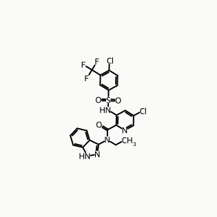 CCN(C(=O)c1ncc(Cl)cc1NS(=O)(=O)c1ccc(Cl)c(C(F)(F)F)c1)c1n[nH]c2ccccc12